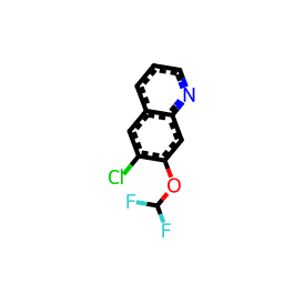 FC(F)Oc1cc2ncccc2cc1Cl